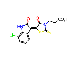 O=C(O)CCN1C(=O)C(=C2C(=O)Nc3c(Cl)cccc32)SC1=S